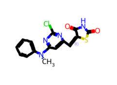 CN(c1ccccc1)c1cc(/C=C2/SC(=O)NC2=O)nc(Cl)n1